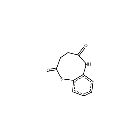 O=C1CCC(=O)Sc2ccccc2N1